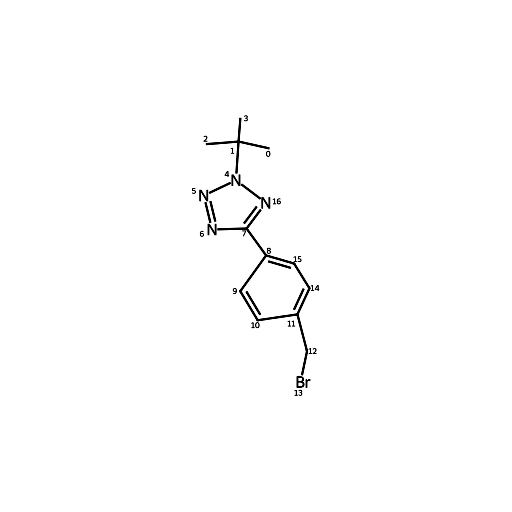 CC(C)(C)n1nnc(-c2ccc(CBr)cc2)n1